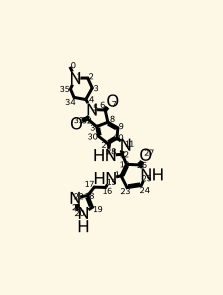 CN1CCC(N2C(=O)c3cc4nc(-c5c(NCCc6c[nH]cn6)cc[nH]c5=O)[nH]c4cc3C2=O)CC1